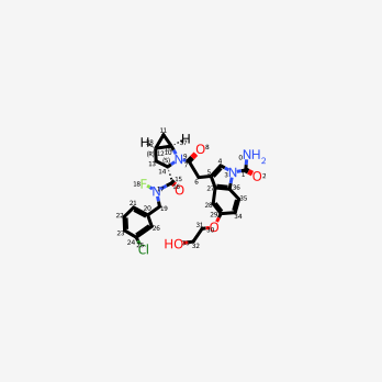 NC(=O)n1cc(CC(=O)N2[C@@H]3C[C@@H]3C[C@H]2C(=O)N(F)Cc2cccc(Cl)c2)c2cc(OCCO)ccc21